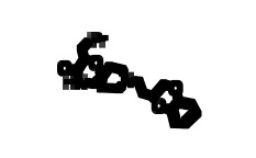 CC(C)CC1OC2(CCN(CCC3COc4ccccc4O3)CC2)CNC1=O